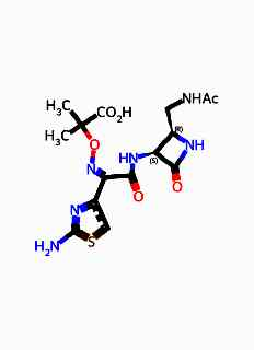 CC(=O)NC[C@H]1NC(=O)[C@H]1NC(=O)C(=NOC(C)(C)C(=O)O)c1csc(N)n1